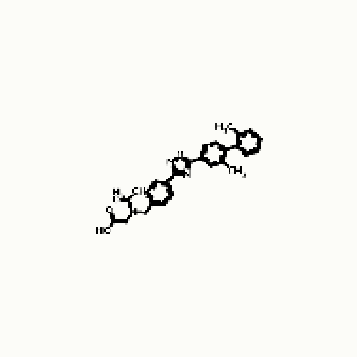 Cc1ccccc1-c1ccc(-c2nc(-c3ccc(CN(CC(=O)O)C(C)C)cc3)no2)cc1C